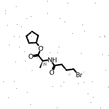 C[C@H](NC(=O)CCCBr)C(=O)OC1CCCC1